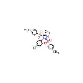 Cc1ccc(S(=O)(=O)c2c(C)nn(S(=O)(=O)c3ccc(C)cc3)c2-c2ccc(Cl)cc2)cc1